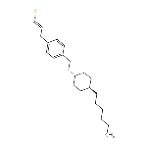 CCCCCC[C@H]1CC[C@H](CCc2ccc(C/C=C/F)cc2)CC1